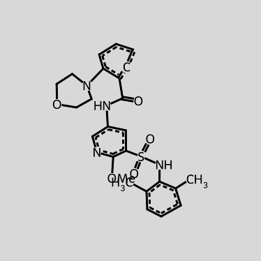 COc1ncc(NC(=O)c2ccccc2N2CCOCC2)cc1S(=O)(=O)Nc1c(C)cccc1C